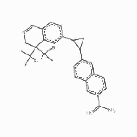 CCC(C)(C)C1(C(C)(C)CC)CN=Cc2ccc(C3CC3c3ccc4cc(C(=N)N)ccc4c3)cc21